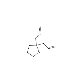 C=CCC1(CC=C)CCCS1